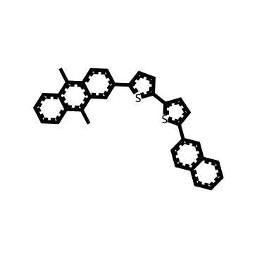 Cc1c2ccccc2c(C)c2cc(-c3ccc(-c4ccc(-c5ccc6ccccc6c5)s4)s3)ccc12